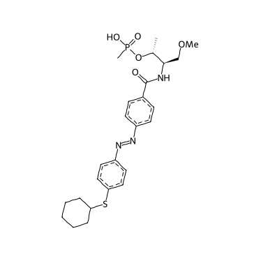 COC[C@@H](NC(=O)c1ccc(/N=N/c2ccc(SC3CCCCC3)cc2)cc1)[C@@H](C)OP(C)(=O)O